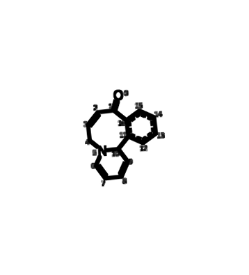 O=C1/C=C\CN2C=CC=CC2c2ccccc21